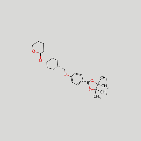 CC1(C)OB(c2ccc(OC[C@H]3CC[C@@H](OC4CCCCO4)CC3)cc2)OC1(C)C